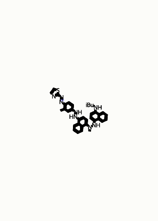 CCC(C)Nc1ccc(NN(C)c2ccc(NNc3ccc(/N=N/c4nccs4)c(C)c3)c3ccccc23)c2ccccc12